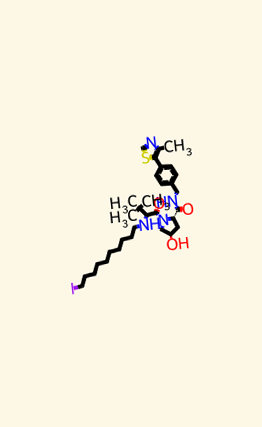 Cc1ncsc1-c1ccc(CNC(=O)[C@@H]2C[C@@H](O)CN2C(=O)C(NCCCCCCCCCCI)C(C)(C)C)cc1